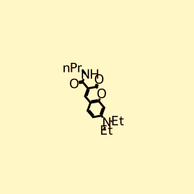 CCCNC(=O)c1cc2ccc(N(CC)CC)cc2oc1=O